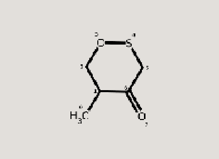 CC1COSCC1=O